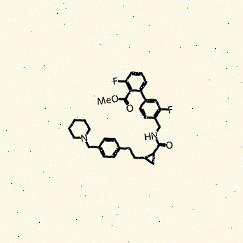 COC(=O)c1c(F)cccc1-c1ccc(CNC(=O)C2CC2CCc2ccc(CN3CCCCC3)cc2)c(F)c1